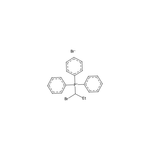 CCC(Br)[P+](c1ccccc1)(c1ccccc1)c1ccccc1.[Br-]